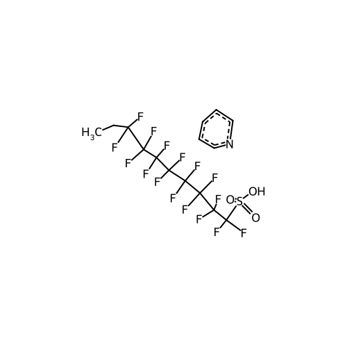 CCC(F)(F)C(F)(F)C(F)(F)C(F)(F)C(F)(F)C(F)(F)C(F)(F)C(F)(F)S(=O)(=O)O.c1ccncc1